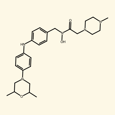 CC1CN(c2ccc(Nc3ccc(CN(O)C(=O)CN4CCN(C)CC4)cc3)cc2)CC(C)O1